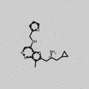 Cc1c(C[C@@H](N)CC2CC2)sc2c(NCc3ccco3)cnnc12